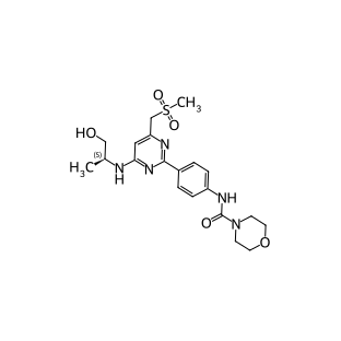 C[C@@H](CO)Nc1cc(CS(C)(=O)=O)nc(-c2ccc(NC(=O)N3CCOCC3)cc2)n1